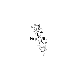 Cc1nc2ccc(NC3=NO[C@@]4(C3)CN3CCC4CC3)cc2s1.Cl